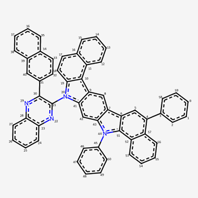 c1ccc(-c2cc3c4cc5c6c7ccccc7ccc6n(-c6nc7ccccc7nc6-c6ccc7ccccc7c6)c5cc4n(-c4ccccc4)c3c3ccccc23)cc1